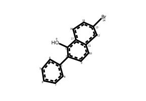 Oc1c(-c2ccccc2)ccc2cc(Br)ccc12